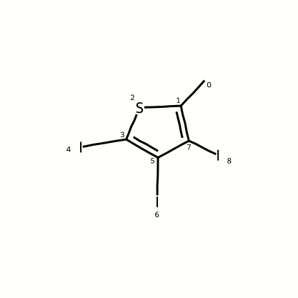 Cc1sc(I)c(I)c1I